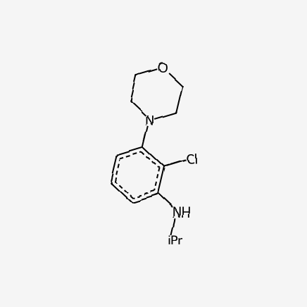 CC(C)Nc1cccc(N2CCOCC2)c1Cl